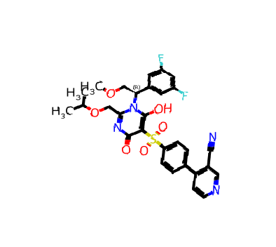 COC[C@@H](c1cc(F)cc(F)c1)n1c(COC(C)C)nc(=O)c(S(=O)(=O)c2ccc(-c3ccncc3C#N)cc2)c1O